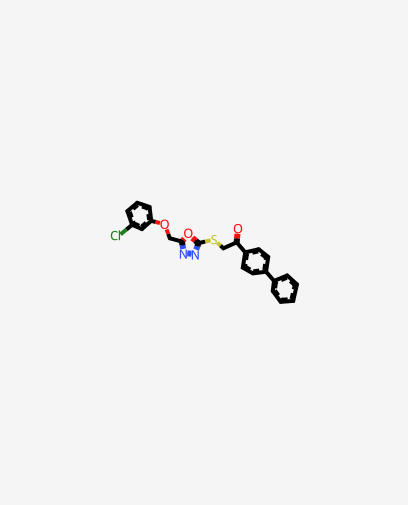 O=C(CSc1nnc(COc2cccc(Cl)c2)o1)c1ccc(-c2ccccc2)cc1